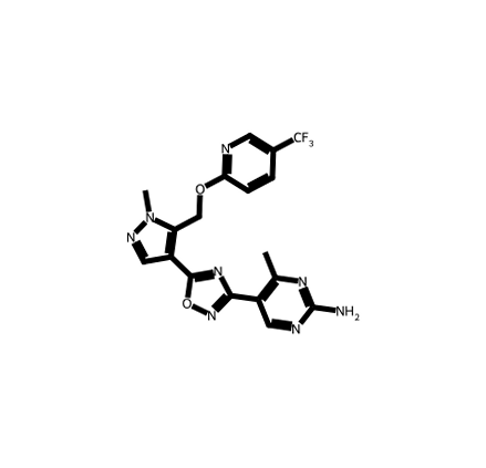 Cc1nc(N)ncc1-c1noc(-c2cnn(C)c2COc2ccc(C(F)(F)F)cn2)n1